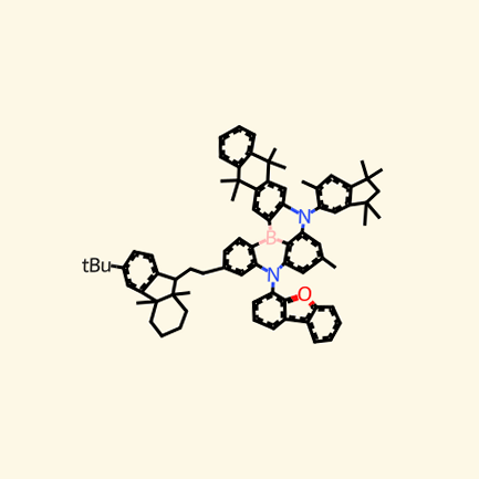 Cc1cc2c3c(c1)N(c1cccc4c1oc1ccccc14)c1cc(CCC4c5ccc(C(C)(C)C)cc5C5(C)CCCCC45C)ccc1B3c1cc3c(cc1N2c1cc2c(cc1C)C(C)(C)CC2(C)C)C(C)(C)c1ccccc1C3(C)C